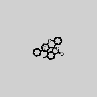 Cc1ccc2c(c1Nc1ccccc1)C1(OC2=O)c2ccccc2Oc2ccccc21